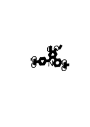 CCOc1cc2c(cc1OC)C(c1ccc(C(=O)OC)cc1)=NC1CCC(OC(C)=O)CC21